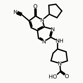 N#Cc1cc2cnc(NC3CCN(C(=O)O)CC3)nc2n(C2CCCC2)c1=O